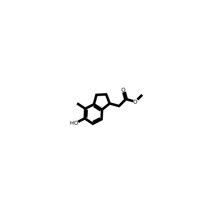 COC(=O)CC1CCc2c1ccc(O)c2C